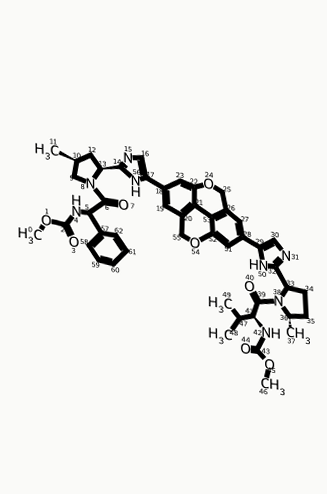 COC(=O)NC(C(=O)N1C[C@@H](C)C[C@H]1c1ncc(-c2cc3c4c(c2)OCc2cc(-c5cnc(C6CC[C@H](C)N6C(=O)[C@@H](NC(=O)OC)C(C)C)[nH]5)cc(c2-4)OC3)[nH]1)c1ccccc1